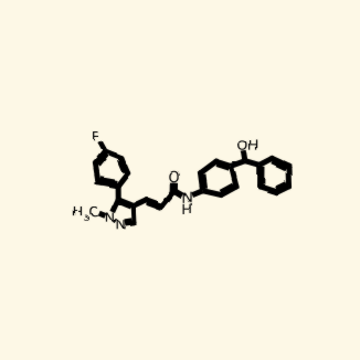 Cn1ncc(/C=C/C(=O)Nc2ccc(C(O)c3ccccc3)cc2)c1-c1ccc(F)cc1